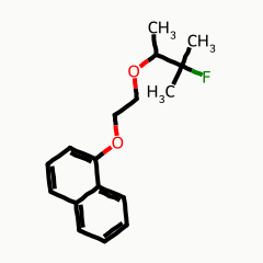 CC(OCCOc1cccc2ccccc12)C(C)(C)F